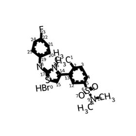 Br.Cc1ccc(S(=O)(=O)N(C)C)cc1-c1csc(=Nc2ccc(F)cc2)n1C